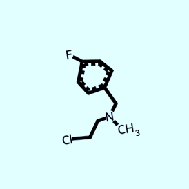 CN(CCCl)Cc1ccc(F)cc1